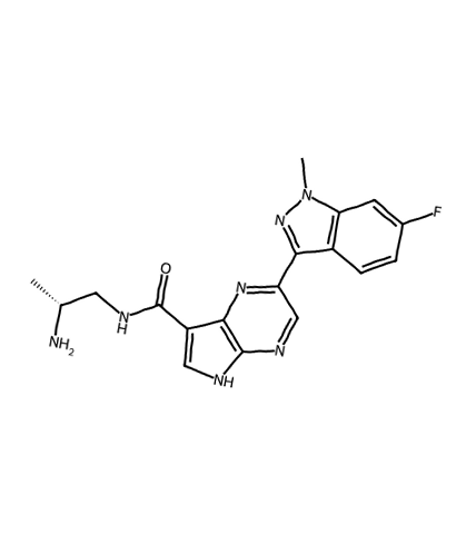 C[C@@H](N)CNC(=O)c1c[nH]c2ncc(-c3nn(C)c4cc(F)ccc34)nc12